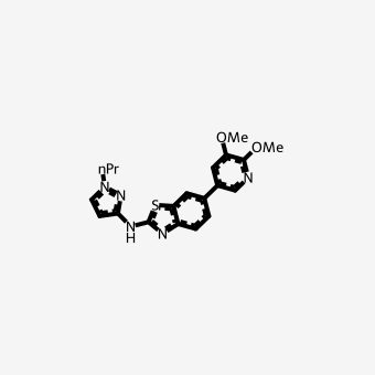 CCCn1ccc(Nc2nc3ccc(-c4cnc(OC)c(OC)c4)cc3s2)n1